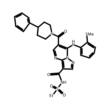 CCS(=O)(=O)NC(=O)c1cnn2c(Nc3ccccc3SC)c(C(=O)N3CCC(c4ccccc4)CC3)cnc12